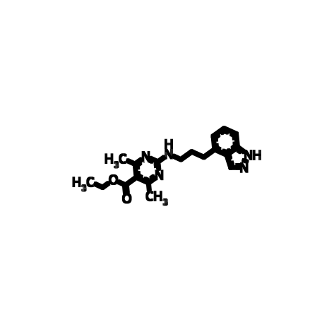 CCOC(=O)c1c(C)nc(NCCCc2cccc3[nH]ncc23)nc1C